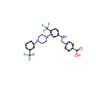 O=C(O)c1ccc(CNc2ccc(C(F)(F)F)c(N3CCN(c4cccc(C(F)(F)F)c4)CC3)c2)cc1